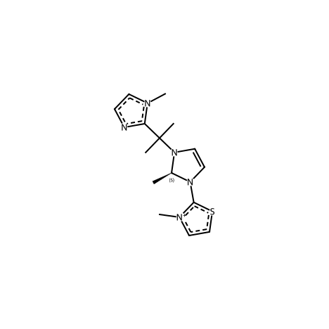 C[C@@H]1N(c2scc[n+]2C)C=CN1C(C)(C)c1nccn1C